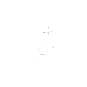 CC(C)(O/N=S1/C=C(CC(=O)O)N=C1N)C(=O)O